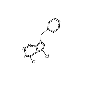 Clc1cn(Cc2ccccc2)c2nnnc(Cl)c12